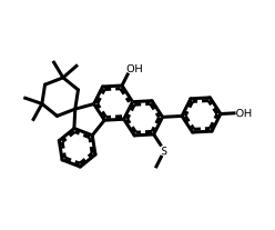 CSc1cc2c3c(cc(O)c2cc1-c1ccc(O)cc1)C1(CC(C)(C)CC(C)(C)C1)c1ccccc1-3